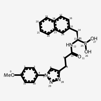 COc1ccc(-n2cc(CCC(=O)N[C@@H](Cc3ccc4ccccc4c3)B(O)O)nn2)cc1